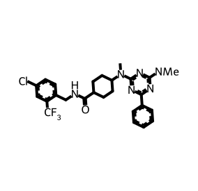 CNc1nc(-c2ccccc2)nc(N(C)C2CCC(C(=O)NCc3ccc(Cl)cc3C(F)(F)F)CC2)n1